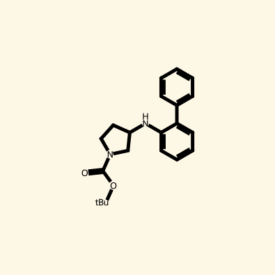 CC(C)(C)OC(=O)N1CCC(Nc2ccccc2-c2ccccc2)C1